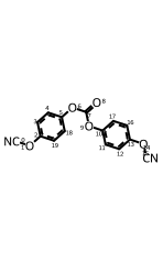 N#COc1ccc(OC(=O)Oc2ccc(OC#N)cc2)cc1